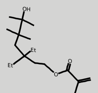 C=C(C)C(=O)OCCC(CC)(CC)CC(C)(C)C(C)(C)O